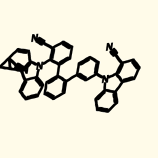 N#Cc1cccc(-c2ccccc2-c2cccc(-n3c4ccccc4c4cccc(C#N)c43)c2)c1-n1c2c(c3ccccc31)C1CC1(C#N)C=C2